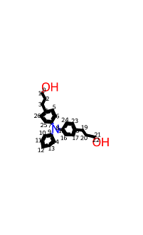 OCCCc1ccc(N(c2ccccc2)c2ccc(CCCO)cc2)cc1